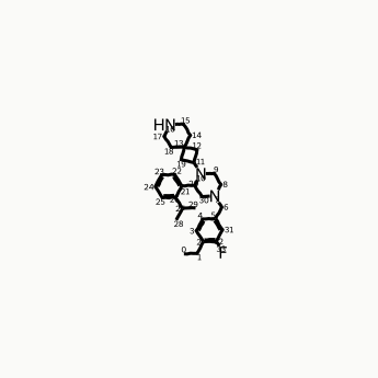 CCc1ccc(CN2CCN(C3CC4(CCNCC4)C3)C(c3ccccc3C(C)C)C2)cc1F